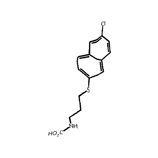 O=C(O)NCCCSc1ccc2cc(Cl)ccc2c1